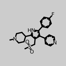 CN1CCC(c2[nH]c(-c3ccc(F)cc3)c(-c3ccncc3)c2CS(C)(=O)=O)CC1